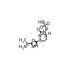 C[C@H](N)c1nnc([C@@H]2CC[C@H]3CN2C(=O)N3OS(=O)(=O)O)o1